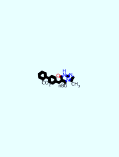 CCCCC1=C(Cc2ccc(-c3ccccc3C(=O)O)cc2)C(=O)NC2=NC=C(C)[N+]21